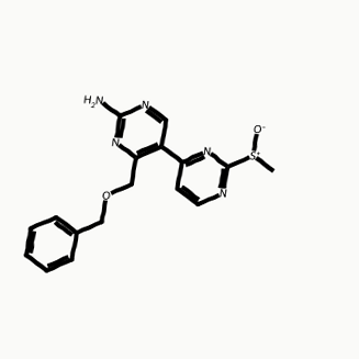 C[S+]([O-])c1nccc(-c2cnc(N)nc2COCc2ccccc2)n1